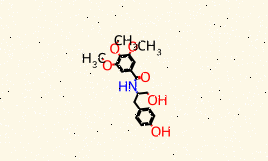 COc1cc(C(=O)NC(CO)Cc2ccc(O)cc2)cc(OC)c1OC